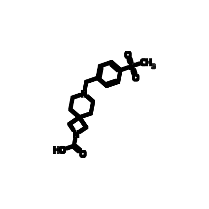 CS(=O)(=O)c1ccc(CN2CCC3(CC2)CN(C(=O)O)C3)cc1